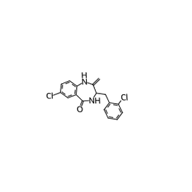 C=C1Nc2ccc(Cl)cc2C(=O)NC1Cc1ccccc1Cl